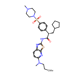 COCCN(C)c1ccc2nc(NC(=O)[C@H](CC3CCCC3)c3ccc(S(=O)(=O)N4CCN(C)CC4)cc3)sc2n1